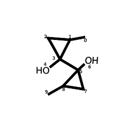 CC1CC1(O)C1(O)CC1C